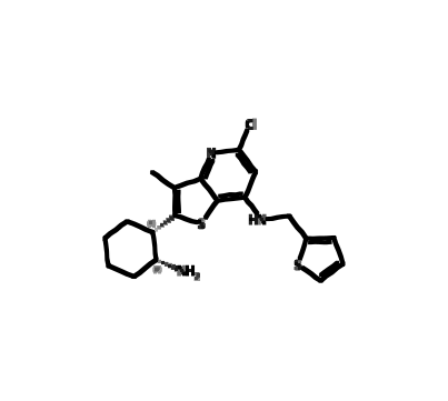 Cc1c([C@H]2CCCC[C@H]2N)sc2c(NCc3cccs3)cc(Cl)nc12